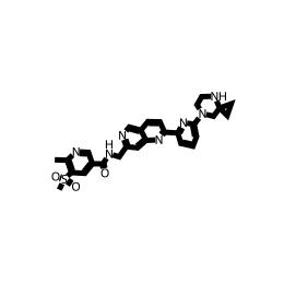 Cc1ncc(C(=O)NCc2cc3nc(-c4cccc(N5CCNC6(CC6)C5)n4)ccc3cn2)cc1S(C)(=O)=O